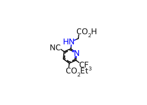 CCOC(=O)c1cc(C#N)c(NCC(=O)O)nc1C(F)(F)F